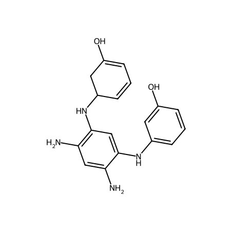 Nc1cc(N)c(NC2C=CC=C(O)C2)cc1Nc1cccc(O)c1